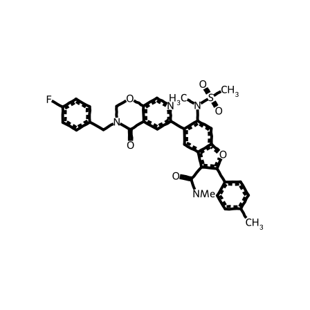 CNC(=O)c1c(-c2ccc(C)cc2)oc2cc(N(C)S(C)(=O)=O)c(-c3cc4c(cn3)OCN(Cc3ccc(F)cc3)C4=O)cc12